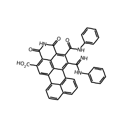 N=C(Nc1ccccc1)c1c(C(=O)Nc2ccccc2)c2c3c(c(C(=O)O)cc4c5cccc6cccc(c1c34)c65)C(=O)NC2=O